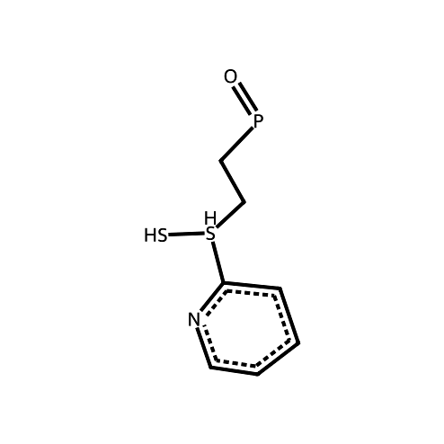 O=PCC[SH](S)c1ccccn1